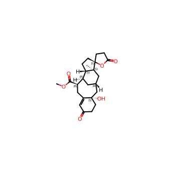 COC(=O)[C@@H]1CC2=CC(=O)CC[C@]2(O)C[C@@H]2C[C@@H]1[C@@H]1CC[C@]3(CCC(=O)O3)[C@@]1(C)C2